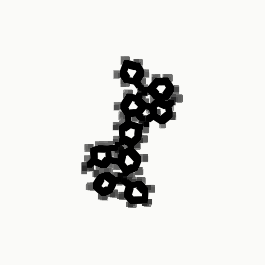 Fc1ccc2c(c1)c1c(N(c3ccccc3)c3ccccc3)ccc3c4cc5c(cc4n2c31)c1ccc(N(c2ccccc2)c2ccccc2)c2c3cc(F)ccc3n5c12